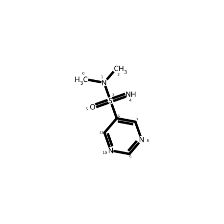 CN(C)S(=N)(=O)c1cncnc1